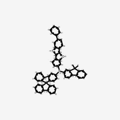 CC1(C)c2ccccc2-c2ccc(N(c3ccc4c(c3)-c3ccccc3C43c4ccccc4-c4ccccc43)c3ccc4c(c3)oc3c5ccc(-c6ccccc6)cc5sc43)cc21